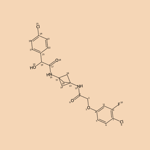 O=C(COc1ccc(Cl)c(F)c1)NC12CC(NC(=O)C(O)c3ccc(Cl)cc3)(C1)C2